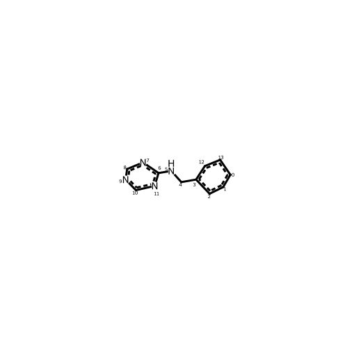 c1ccc(CNc2ncncn2)cc1